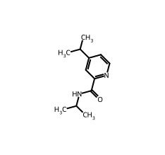 CC(C)NC(=O)c1cc(C(C)C)ccn1